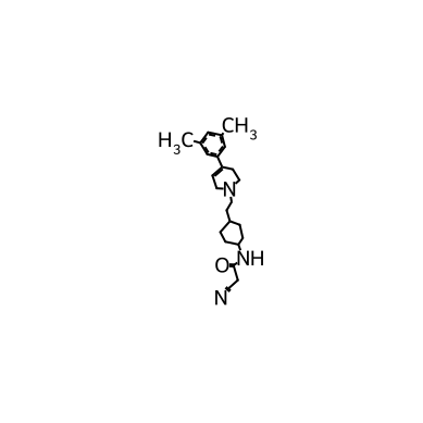 Cc1cc(C)cc(C2=CCN(CCC3CCC(NC(=O)CC#N)CC3)CC2)c1